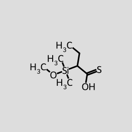 CCC(C(O)=S)[Si](C)(C)OC